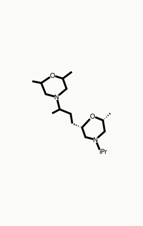 CC1CN(C(C)CC[C@H]2CN(C(C)C)C[C@@H](C)O2)CC(C)O1